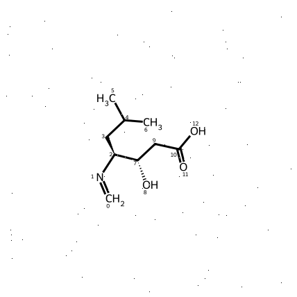 C=N[C@@H](CC(C)C)[C@@H](O)CC(=O)O